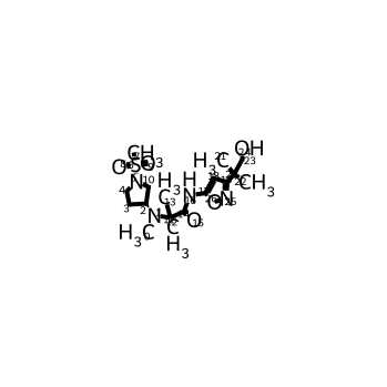 CN([C@@H]1CCN(S(C)(=O)=O)C1)C(C)(C)C(=O)Nc1cc(C(C)(C)CO)no1